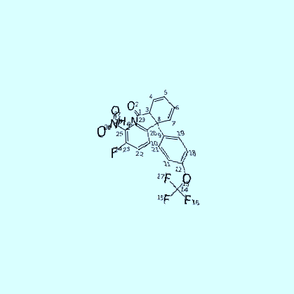 NC(=O)C1C=CC=CC1(c1ccc(OC(F)(F)F)cc1)c1ccc(F)c([N+](=O)[O-])c1